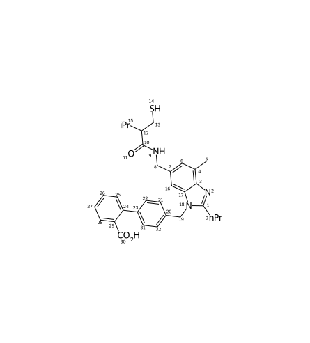 CCCc1nc2c(C)cc(CNC(=O)C(CS)C(C)C)cc2n1Cc1ccc(-c2ccccc2C(=O)O)cc1